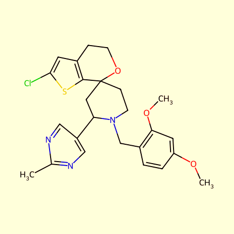 COc1ccc(CN2CCC3(CC2c2cnc(C)nc2)OCCc2cc(Cl)sc23)c(OC)c1